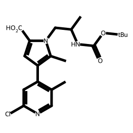 Cc1cnc(Cl)cc1-c1cc(C(=O)O)n(CC(C)NC(=O)OC(C)(C)C)c1C